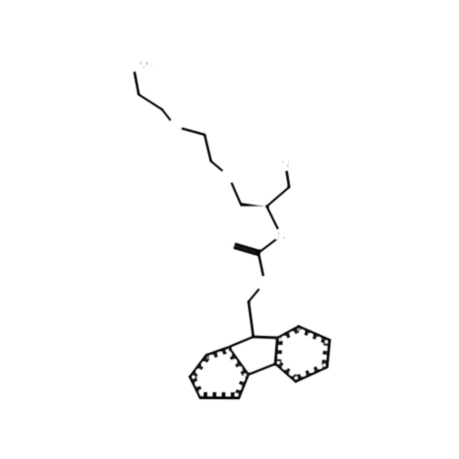 COCCOCCOC[C@@H](CN)NC(=O)OCC1c2ccccc2-c2ccccc21